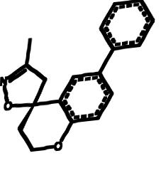 CC1=NO[C@]2(CCOc3ccc(-c4ccccc4)cc32)C1